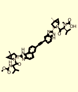 COC(=O)N[C@H](C(=O)N1C2C[C@]2(C)C[C@H]1c1nc2ccc3cc(C#Cc4ccc5[nH]c([C@@H]6C[C@@]7(C)CC7N6C(=O)[C@H](C(C)C)N(C)C(=O)O)nc5c4)ccc3c2[nH]1)C(C)C